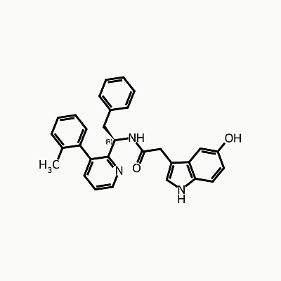 Cc1ccccc1-c1cccnc1[C@@H](Cc1ccccc1)NC(=O)Cc1c[nH]c2ccc(O)cc12